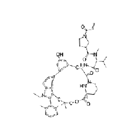 C=CC(=O)N1CC[C@H](C(=O)N(C)[C@H](C(=O)N[C@H]2Cc3cc(O)cc(c3)-c3ccc4c(c3)c(c(-c3c(C)cccc3C)n4CC)CC(C)(C)COC(=O)[C@@H]3CCCN(N3)C2=O)C(C)C)C1